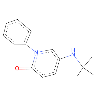 CC(C)(C)Nc1ccc(=O)n(-c2ccccc2)c1